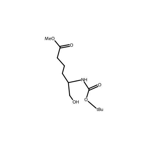 COC(=O)CCCC(CO)NC(=O)OC(C)(C)C